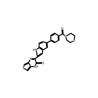 O=C(c1ccc(-c2ccc3[nH]c(-c4nc5cscc5[nH]c4=O)cc3c2)cc1)N1CCOCC1